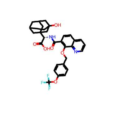 O=C(N[C@H](C(=O)O)C12CC3CC(CC(O)(C3)C1)C2)c1ccc2cccnc2c1OCc1ccc(OC(F)(F)F)cc1